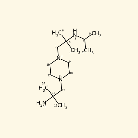 CC(C)NC(C)(C)CN1CCN(CC(C)(C)N)CC1